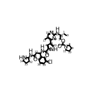 CC[C@H](COC(=O)N1CCCC1)Nc1ncc(C)c(-c2c[nH]c(C(=O)NC(CC(=O)NC3CCCN3)c3cccc(Cl)c3)c2)n1